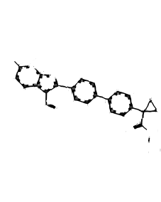 C=Cc1c(-c2ccc(-c3ccc(C4(C(=O)OC)CC4)cc3)cc2)oc2nc(C)ccc12